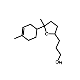 CC1=CCC(C2(C)CCC(CCCO)O2)CC1